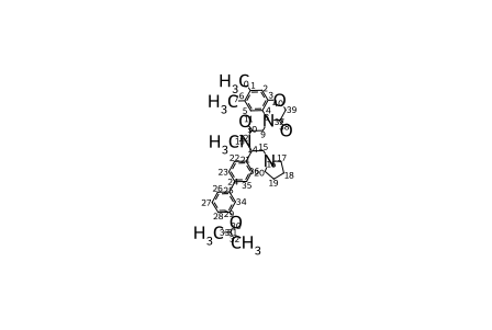 Cc1cc2c(cc1C)N(CC(=O)N(C)C(CN1CCCC1)c1ccc(-c3cccc(OC(C)C)c3)cc1)C(=O)CO2